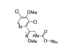 CO/N=C(\CNC(=O)OC(C)(C)C)c1ncc(Cl)c(OC)c1Cl